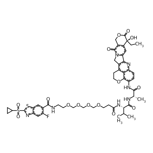 CC[C@@]1(O)C(=O)OCc2c1cc1n(c2=O)Cc2c-1nc1ccc(NC(=O)[C@H](C)NC(=O)[C@@H](NC(=O)CCOCOCOCOCCNC(=O)c3cc4sc(S(=O)(=O)C5CC5)nc4cc3F)C(C)C)c3c1c2CCO3